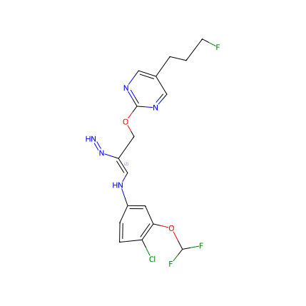 N=N/C(=C\Nc1ccc(Cl)c(OC(F)F)c1)COc1ncc(CCCF)cn1